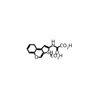 O=C(O)C(=O)NC1=CC2=C3CC=CC=C3OC=C2[SH]1C(=O)O